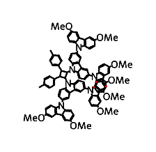 COc1ccc2c(c1)c1cc(OC)ccc1n2-c1ccc2c(c1)c1cc(-n3c4ccc(OC)cc4c4cc(OC)ccc43)ccc1n2C1C(c2ccc(C)cc2)C(c2ccc(C)cc2)C1n1c2ccc(-n3c4ccc(OC)cc4c4cc(OC)ccc43)cc2c2cc(-n3c4ccc(OC)cc4c4cc(OC)ccc43)ccc21